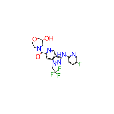 O=C(c1cc2c(cn1)c(Nc1ccc(F)cn1)nn2CC(F)(F)F)N1CCOCC(O)C1